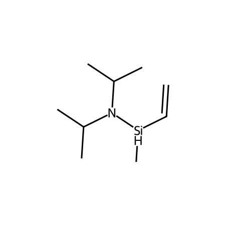 C=C[SiH](C)N(C(C)C)C(C)C